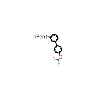 CCCCCc1cccc(-c2ccc(OC(F)F)cc2)c1